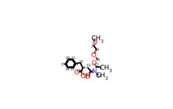 COCCOCOC(C)N(C)C(=O)C[C@@H](Cc1ccccc1)C(=O)O